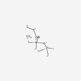 C.CC(C)(C)OC(C)(C)C.CCO